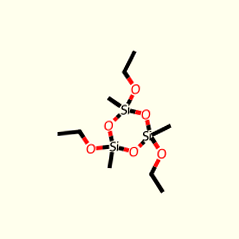 CCO[Si]1(C)O[Si](C)(OCC)O[Si](C)(OCC)O1